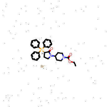 CCOC(=O)N1CCC(N2CC[C@@H]([P+](c3ccccc3)(c3ccccc3)c3ccccc3)C2=O)CC1.[Br-]